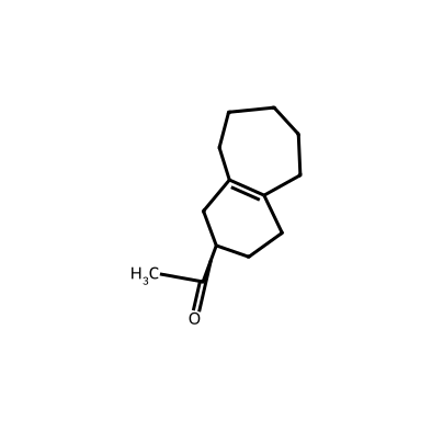 CC(=O)C1CCC2=C(CCCCC2)C1